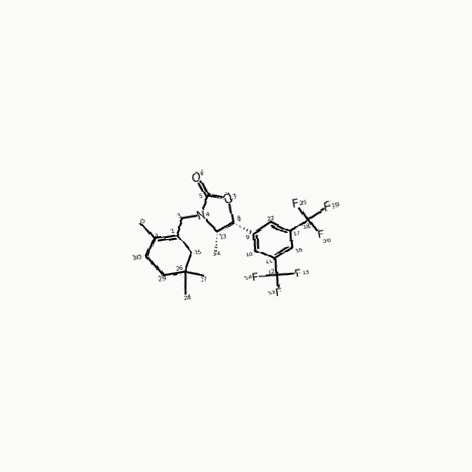 CC1=C(CN2C(=O)O[C@H](c3cc(C(F)(F)F)cc(C(F)(F)F)c3)[C@@H]2C)CC(C)(C)CC1